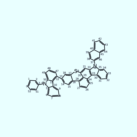 c1ccc(-n2c3ccccc3c3c(-c4ccc5c(c4)Sc4cc6c(c7cccc-5c47)c4ccccc4n6-c4ccc5ccccc5c4)cccc32)cc1